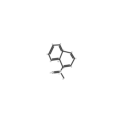 C[P](=O)c1cccc2ccccc12